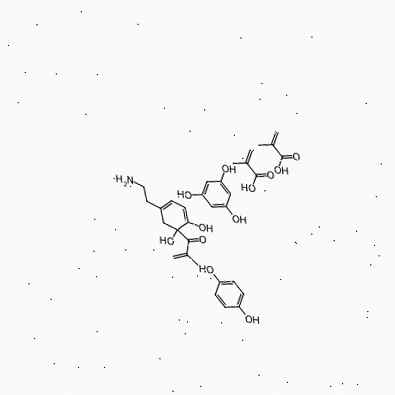 C=C(C)C(=O)C1(O)CC(CCN)=CC=C1O.C=C(C)C(=O)O.C=C(C)C(=O)O.Oc1cc(O)cc(O)c1.Oc1ccc(O)cc1